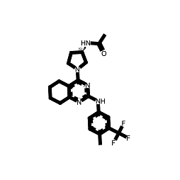 CC(=O)N[C@H]1CCN(c2nc(Nc3ccc(C)c(C(F)(F)F)c3)nc3c2CCCC3)C1